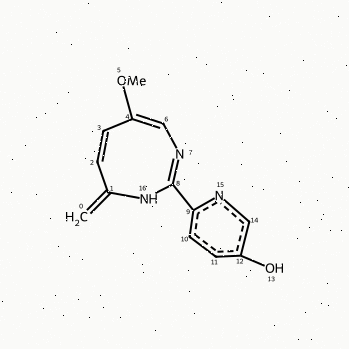 C=C1\C=C/C(OC)=C\N=C(\c2ccc(O)cn2)N1